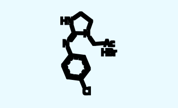 Br.CC(=O)CN1CCNC1=Nc1ccc(Cl)cc1